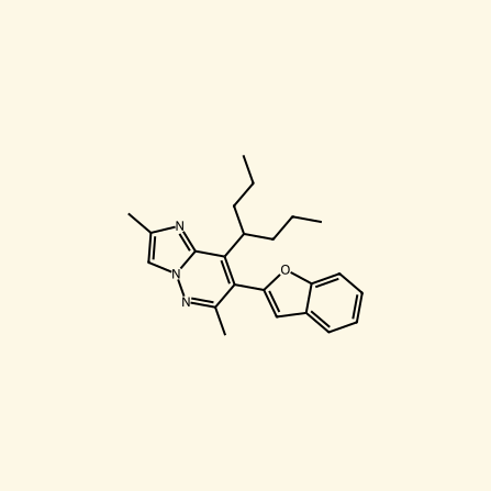 CCCC(CCC)c1c(-c2cc3ccccc3o2)c(C)nn2cc(C)nc12